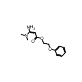 CN(C)C(N)=CC(=O)OCCOc1ccccc1